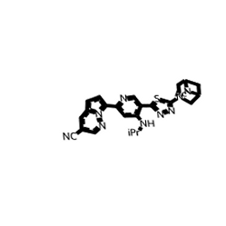 CC(=O)N1C2CC1CN(c1nnc(-c3cnc(-c4ccc5cc(C#N)cnn45)cc3NC(C)C)s1)C2